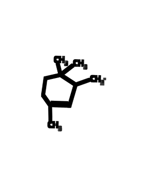 [CH2]C1C=C(C)CCC1(C)C